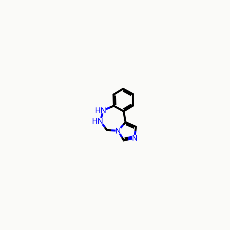 c1ccc2c(c1)NNCn1cncc1-2